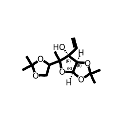 C=C[C@@]1(O)[C@H]2OC(C)(C)O[C@H]2OC1(C)C1COC(C)(C)O1